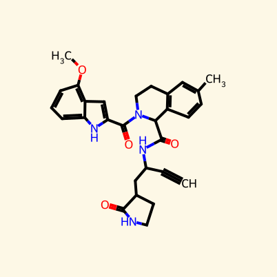 C#CC(CC1CCNC1=O)NC(=O)C1c2ccc(C)cc2CCN1C(=O)c1cc2c(OC)cccc2[nH]1